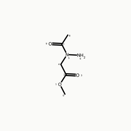 COC(=O)CN(N)C(C)=O